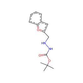 CC(C)(C)OC(=O)NNCc1cc2ccccc2o1